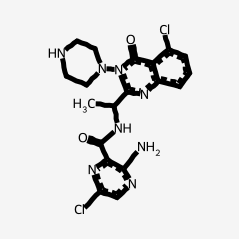 CC(NC(=O)c1nc(Cl)cnc1N)c1nc2cccc(Cl)c2c(=O)n1N1CCNCC1